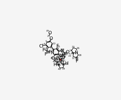 COCOc1cc(Cl)c(C(F)(F)F)c(-c2nc3c4c(nc(OC[C@]56CCCN5C[C@H](F)C6)nc4c2F)N2C[C@@H]4CC[C@H]([C@H]2CO3)N4C(=O)OC(C)(C)C)c1